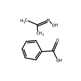 CC(C)=NO.O=C(O)c1ccccc1